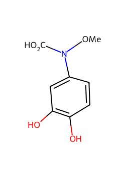 CON(C(=O)O)c1ccc(O)c(O)c1